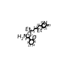 CC/C(=C\CC(CC)OC/C(=C\N)C1CCCCC1=O)Cc1ccc(C)nc1